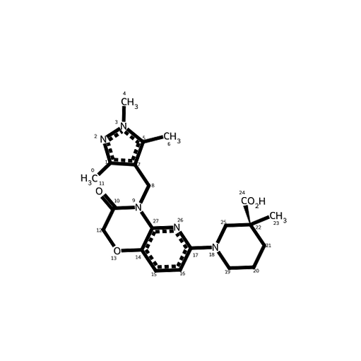 Cc1nn(C)c(C)c1CN1C(=O)COc2ccc(N3CCC[C@](C)(C(=O)O)C3)nc21